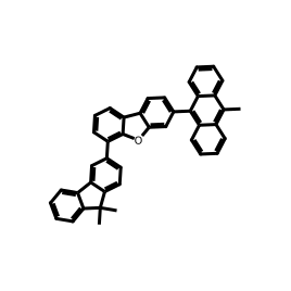 Cc1c2ccccc2c(-c2ccc3c(c2)oc2c(-c4ccc5c(c4)-c4ccccc4C5(C)C)cccc23)c2ccccc12